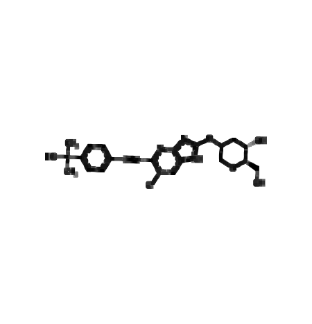 CC(C)(O)c1ccc(C#Cc2nc3nc(OC4CO[C@H](CO)[C@@H](O)C4)[nH]c3cc2Cl)cc1